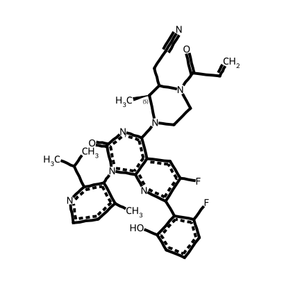 C=CC(=O)N1CCN(c2nc(=O)n(-c3c(C)ccnc3C(C)C)c3nc(-c4c(O)cccc4F)c(F)cc23)[C@@H](C)C1CC#N